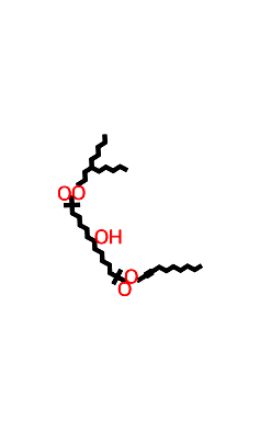 CCCCCCCC#CCOC(=O)C(C)(C)CCCCCC(O)CCCCCC(C)(C)C(=O)OCCCC(CCCCC)CCCCC